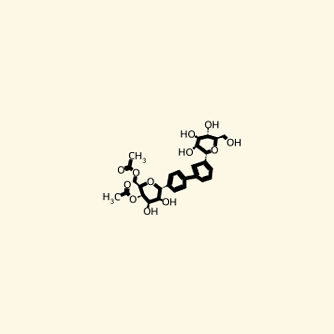 CC(=O)OC[C@H]1O[C@H](c2ccc(-c3cccc([C@H]4O[C@H](CO)[C@@H](O)[C@H](O)[C@@H]4O)c3)cc2)[C@@H](O)[C@@H](O)[C@@H]1OC(C)=O